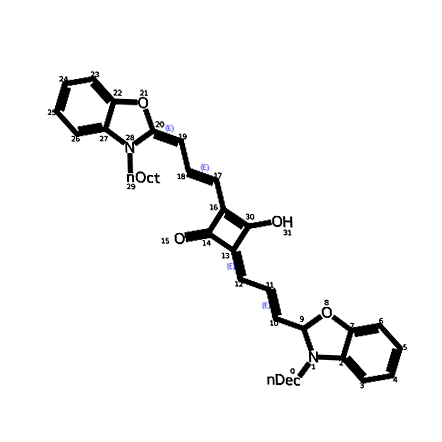 CCCCCCCCCCN1c2ccccc2OC1/C=C/C=C1/C(=O)C(/C=C/C=C2/Oc3ccccc3N2CCCCCCCC)=C1O